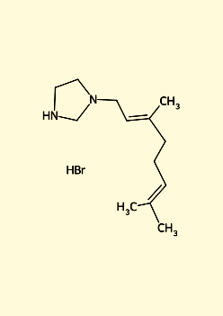 Br.CC(C)=CCC/C(C)=C/CN1CCNC1